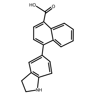 O=C(O)c1ccc(-c2ccc3c(c2)CCN3)c2ccccc12